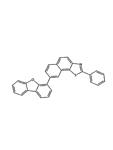 c1ccc(-c2nc3ccc4ccc(-c5cccc6c5oc5ccccc56)cc4c3s2)cc1